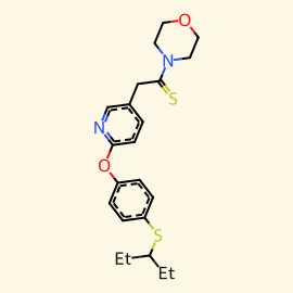 CCC(CC)Sc1ccc(Oc2ccc(CC(=S)N3CCOCC3)cn2)cc1